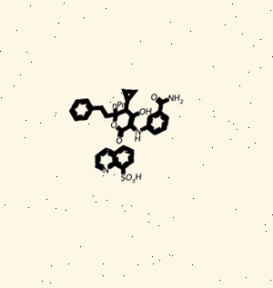 CCCC1(CCc2ccccc2)OC(=O)C(Nc2cccc(C(N)=O)c2)=C(O)C1C1CC1.O=S(=O)(O)c1cccc2cccnc12